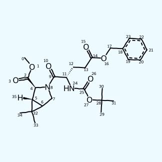 COC(=O)[C@@H]1[C@@H]2C(CN1C(=O)[C@H](CCC(=O)OCc1ccccc1)NC(=O)OC(C)(C)C)C2(C)C